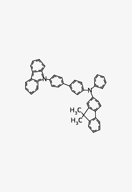 CC1(C)c2ccccc2-c2ccc(N(c3ccccc3)c3ccc(-c4ccc(-n5c6ccccc6c6ccccc65)cc4)cc3)cc21